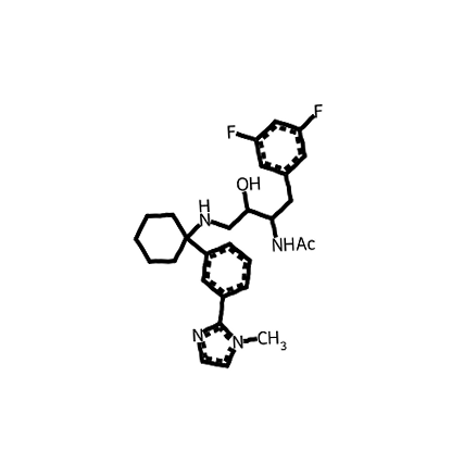 CC(=O)NC(Cc1cc(F)cc(F)c1)C(O)CNC1(c2cccc(-c3nccn3C)c2)CCCCC1